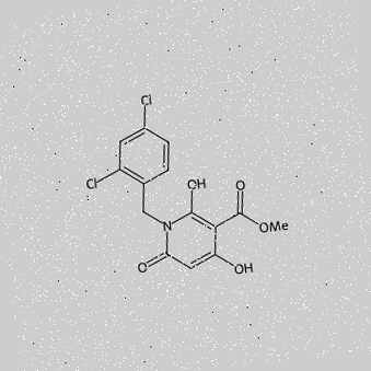 COC(=O)c1c(O)cc(=O)n(Cc2ccc(Cl)cc2Cl)c1O